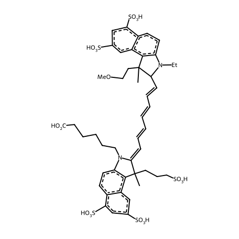 CCN1c2ccc3c(S(=O)(=O)O)cc(S(=O)(=O)O)cc3c2C(C)(CCOC)C1C=CC=CC=CC=C1N(CCCCCC(=O)O)c2ccc3c(S(=O)(=O)O)cc(S(=O)(=O)O)cc3c2C1(C)CCCS(=O)(=O)O